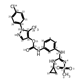 CS(=O)(=O)N=C(Nc1cccc(NC(=O)Oc2cnn(-c3ccc(Cl)cc3)c2C(F)(F)F)c1)NC1CC1